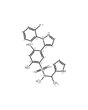 CC(c1ccc[nH]1)N(C)S(=O)(=O)c1cc(-c2ccnn2-c2ccccc2F)c(O)cc1O